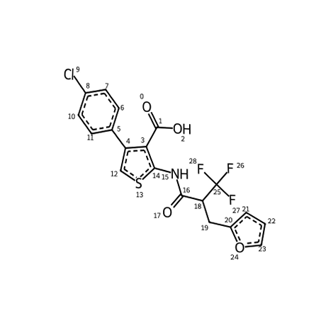 O=C(O)c1c(-c2ccc(Cl)cc2)csc1NC(=O)C(Cc1ccco1)C(F)(F)F